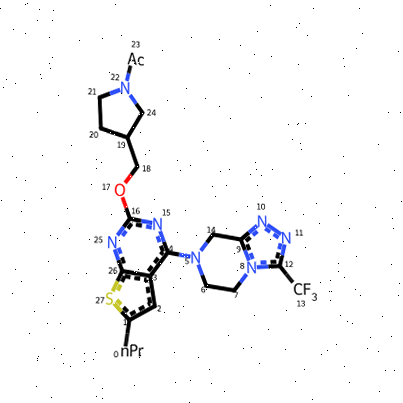 CCCc1cc2c(N3CCn4c(nnc4C(F)(F)F)C3)nc(OCC3CCN(C(C)=O)C3)nc2s1